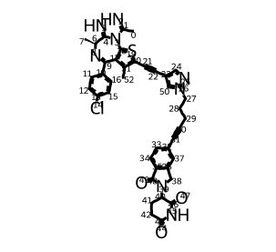 CC(=N)N1C(=N)[C@H](C)N=C(c2ccc(Cl)cc2)c2c1sc(C#Cc1cnn(CCCC#Cc3ccc4c(c3)CN(C3CCC(=O)NC3=O)C4=O)c1)c2C